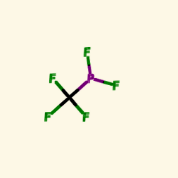 FP(F)C(F)(F)F